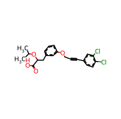 CC(C)OC(Cc1cccc(OCC#Cc2ccc(Cl)c(Cl)c2)c1)C(=O)O